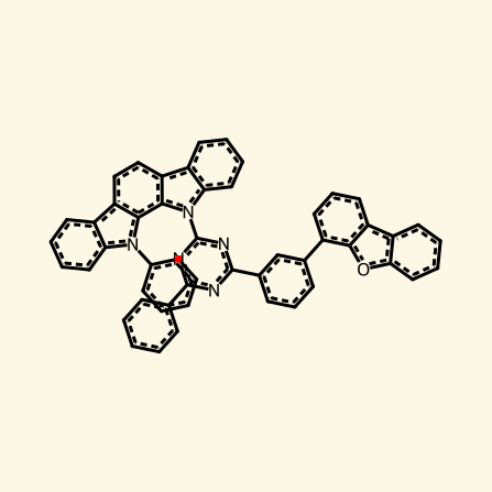 c1ccc(-c2nc(-c3cccc(-c4cccc5c4oc4ccccc45)c3)nc(-n3c4ccccc4c4ccc5c6ccccc6n(-c6ccccc6)c5c43)n2)cc1